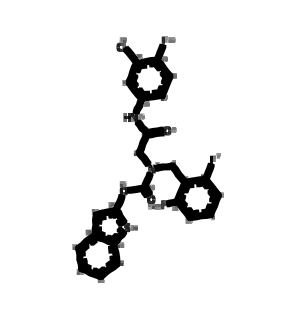 O=C(CN(Cc1c(F)cccc1F)C(=O)Oc1cc2ccccc2s1)Nc1ccc(F)c(Cl)c1